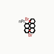 CCCC1=C(CBr)C2(C3=C(CCC=C3)CC3=C2CCC=C3)c2cc(Br)ccc2C1